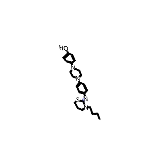 CCCCN1CCCS/C1=N\c1ccc(N2CCN(c3ccc(O)cc3)CC2)cc1